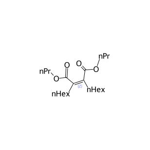 CCCCCC/C(C(=O)OCCC)=C(\CCCCCC)C(=O)OCCC